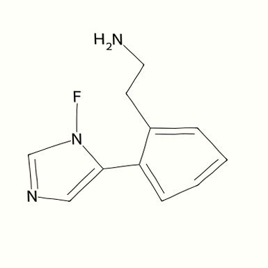 NCCc1ccccc1-c1cncn1F